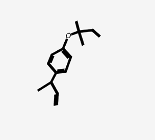 C=CC(C)c1ccc(OC(C)(C)CC)cc1